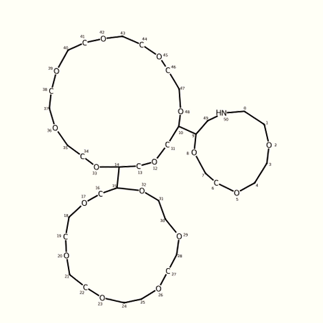 C1COCCOCCOC(C2COCC(C3COCCOCCOCCOCCOCCO3)OCCOCCOCCOCCOCCO2)CN1